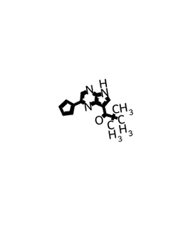 CC(C)(C)C(=O)c1c[nH]c2ncc(C3=C=CC=C3)nc12